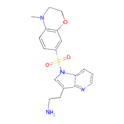 CN1CCOc2cc(S(=O)(=O)n3cc(CCN)c4ncccc43)ccc21